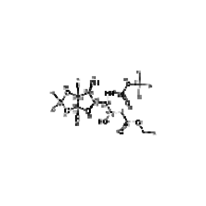 CCOC(=O)C[C@H](O)[C@@H](NC(=O)OC(C)(C)C)[C@H]1O[C@@H]2OC(C)(C)O[C@@H]2[C@H]1O